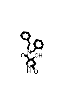 O=C(c1c[nH]c(=O)cc1O)N(CCc1ccccc1)Cc1ccccc1